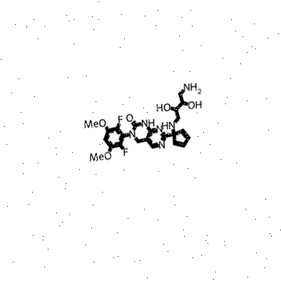 COc1cc(OC)c(F)c(N2Cc3cnc(C4(NCC(O)C(O)CN)C=CC=C4)nc3NC2=O)c1F